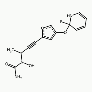 CC(C#Cc1cc(OC2(F)C=CC=CN2)co1)N(O)C(N)=O